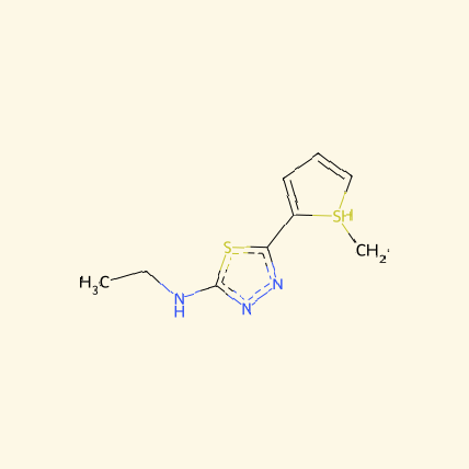 [CH2][SH]1C=CC=C1c1nnc(NCC)s1